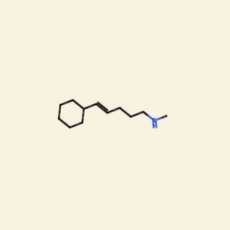 CNCCC/C=C/C1CCCCC1